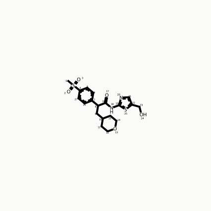 CS(=O)(=O)c1ccc(C(CC2CCOCC2)C(=O)Nc2ncc(CO)s2)cc1